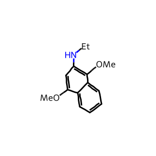 CCNc1cc(OC)c2ccccc2c1OC